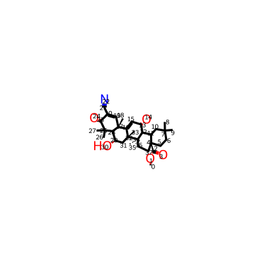 COC(=O)[C@]12CCC(C)(C)CC1C1C(=O)C=C3[C@@]4(C)C=C(C#N)C(=O)C(C)(C)C4[C@H](O)C[C@@]3(C)[C@]1(C)CC2